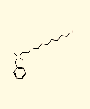 C[N+](C)(CCNCCCCCCC[SiH3])Cc1ccccc1